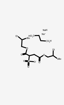 CCCCC(CC)COC(=O)CC(C(=O)OCC(CC)CCCC)S(=O)(=O)[O-].O=C(O)CCC(=O)O.[Na+].[NaH]